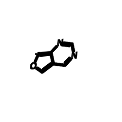 [c]1occ2cncnc12